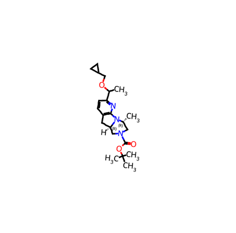 CC(OCC1CC1)c1ccc2c(n1)N1[C@H](C2)CN(C(=O)OC(C)(C)C)C[C@H]1C